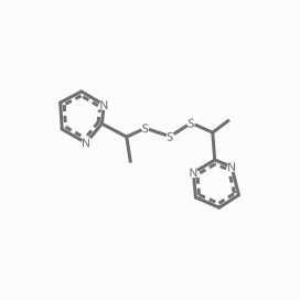 CC(SSSC(C)c1ncccn1)c1ncccn1